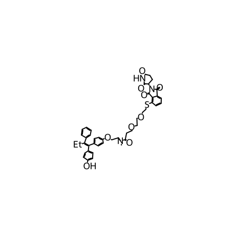 CCC(=C(c1ccc(O)cc1)c1ccc(OCCN(C)C(=O)CCOCCOCCSc2cccc3c2C(=O)N(C2CCC(=O)NC2=O)C3=O)cc1)c1ccccc1